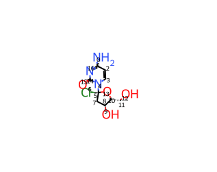 Nc1ccn([C@@]2(Cl)C[C@H](O)[C@@H](CO)O2)c(=O)n1